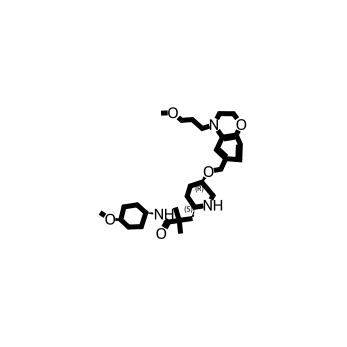 COCCCN1CCOc2ccc(CO[C@@H]3CC[C@@H](CC(C)(C)C(=O)N[C@H]4CC[C@H](OC)CC4)NC3)cc21